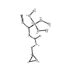 C=CC(CC(C)OCC1CO1)[Si](OCC)(OCC)OCC